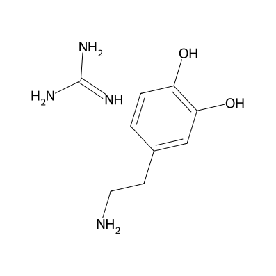 N=C(N)N.NCCc1ccc(O)c(O)c1